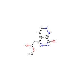 CC(C)(C)OC(=O)Cc1n[nH]c(=O)c2nnccc12